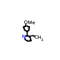 C=Cc1cccnc1-c1ccc(OC)cc1